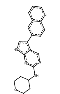 c1cnc2ccc(-c3c[nH]c4nc(NC5CCOCC5)ncc34)cc2c1